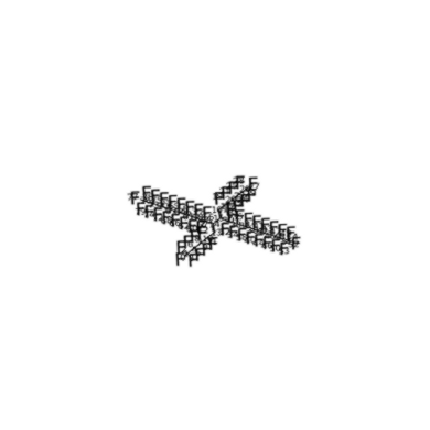 FC(F)(F)C(F)(F)C(F)(F)C(F)(F)C=C(C(=CC(F)(F)C(F)(F)C(F)(F)C(F)(F)F)C(F)(F)C(F)(F)C(F)(F)C(F)(F)C(F)(F)C(F)(F)C(F)(F)C(F)(F)F)C(F)(F)C(F)(F)C(F)(F)C(F)(F)C(F)(F)C(F)(F)C(F)(F)C(F)(F)F